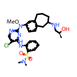 CON(c1ccc2c(c1)CCCC(NC[C@H](C)O)C2)c1ncc(Cl)c(Nc2ccccc2S(=O)(=O)N(C)C)n1